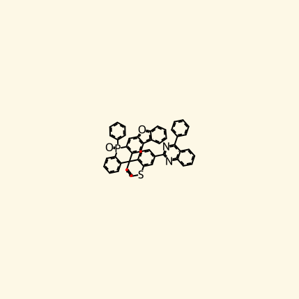 O=P1(c2ccccc2)c2ccccc2C2(c3ccccc3Sc3cc(-c4nc(-c5ccccc5)c5ccccc5n4)ccc32)c2cc3c(cc21)oc1ccccc13